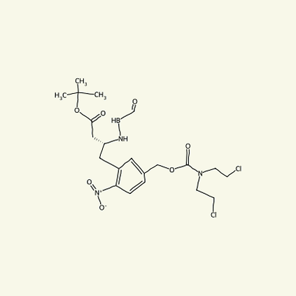 CC(C)(C)OC(=O)C[C@@H](Cc1cc(COC(=O)N(CCCl)CCCl)ccc1[N+](=O)[O-])NBC=O